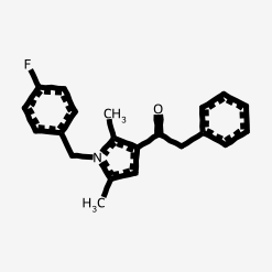 Cc1cc(C(=O)Cc2ccccc2)c(C)n1Cc1ccc(F)cc1